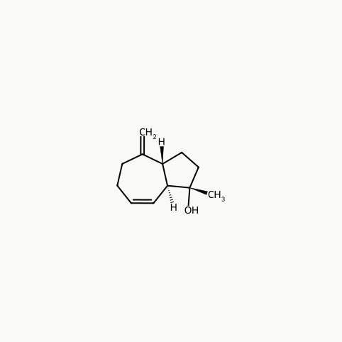 C=C1CCC=C[C@H]2[C@H]1CC[C@]2(C)O